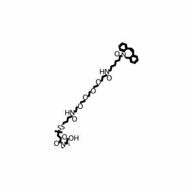 C[C@@H](C(=O)O)N(C)C(=O)CCC(C)(C)SSCCCC(=O)NCCOCCOCCOCCOCCC(=O)NCCCCCC(=O)N1Cc2ccccc2C#Cc2ccccc21